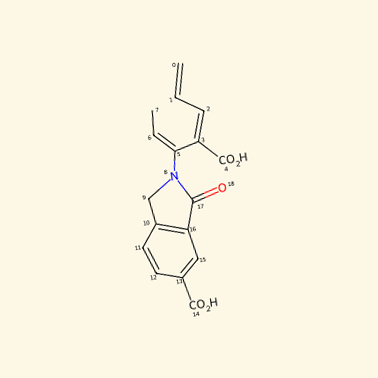 C=C/C=C(C(=O)O)\C(=C/C)N1Cc2ccc(C(=O)O)cc2C1=O